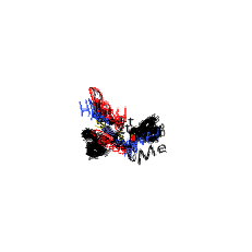 CCOC(OCC)C(O)Cn1c(S/C=C/C2=C(C(=O)OC(c3ccccc3)c3ccccc3)N3C(=O)C(NC(=O)/C(=N/OC)c4csc(NC(c5ccccc5)(c5ccccc5)c5ccccc5)n4)C3SC2)n[nH]c(=O)c1=O